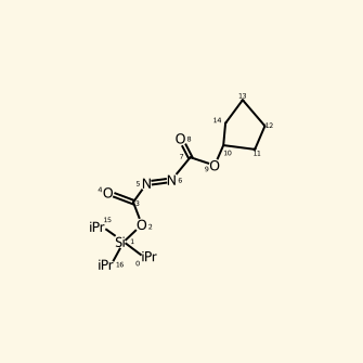 CC(C)[Si](OC(=O)/N=N/C(=O)OC1CCCC1)(C(C)C)C(C)C